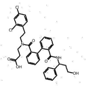 O=C(O)CCN(CCc1ccc(Cl)cc1Cl)C(=O)c1ccccc1-c1ccccc1C(=O)NC(CCO)c1ccccc1